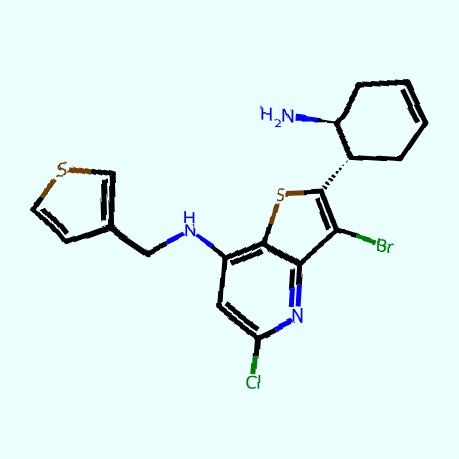 N[C@H]1CC=CC[C@@H]1c1sc2c(NCc3ccsc3)cc(Cl)nc2c1Br